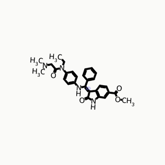 CCN(C(=O)CN(C)C)c1ccc(N/C(=C2\C(=O)Nc3cc(C(=O)OC)ccc32)c2ccccc2)cc1